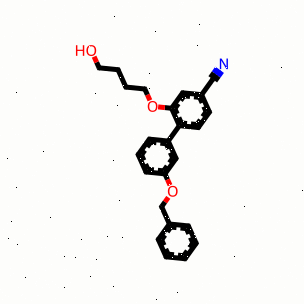 N#Cc1ccc(-c2cccc(OCc3ccccc3)c2)c(OCCCCO)c1